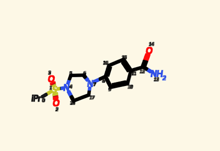 CC(C)S(=O)(=O)N1CCN(c2ccc(C(N)=O)cc2)CC1